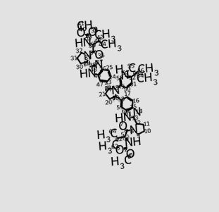 COC(=O)N[C@H](C(=O)N1CCCC1c1nc2ccc([C@H]3CC[C@H](c4ccc5nc([C@@H]6CCCN6C(=O)[C@@H](NC(=O)OC)C(C)C)[nH]c5c4)N3c3ccc(C(C)(C)C)nc3)cc2[nH]1)C(C)C